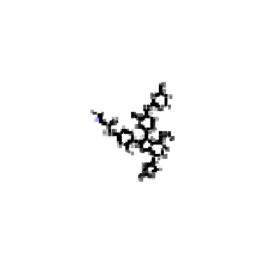 C/C=C/C(=O)Nc1ccc(-c2sc3c(-c4cnn(C)n4)cnc(N)c3c2-c2ccc(Oc3nccc(C)n3)c(F)c2)c(C)c1